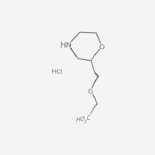 Cl.O=C(O)COCC1CNCCO1